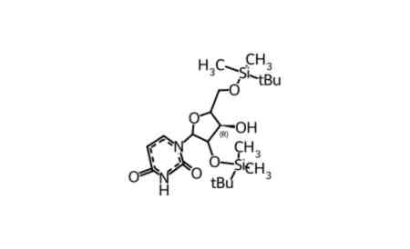 CC(C)(C)[Si](C)(C)OCC1OC(n2ccc(=O)[nH]c2=O)C(O[Si](C)(C)C(C)(C)C)[C@@H]1O